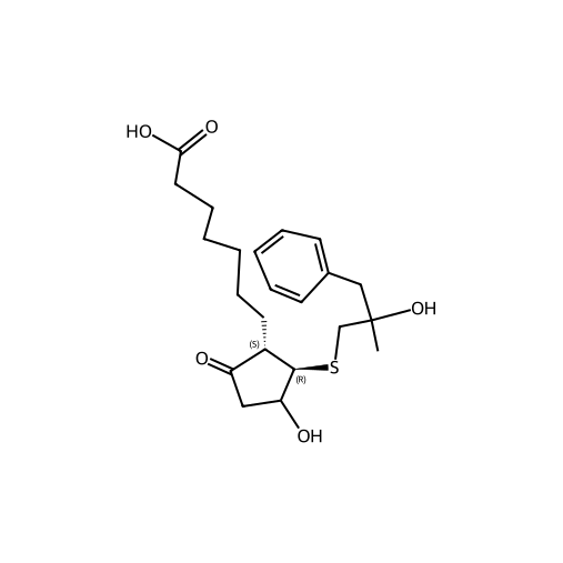 CC(O)(CS[C@H]1C(O)CC(=O)[C@@H]1CCCCCCC(=O)O)Cc1ccccc1